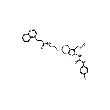 O=NCc1c(NC(=O)Nc2ccc(Cl)cc2)sc2c1CCN(CCCNC(=O)CCc1cccc3ccccc13)C2